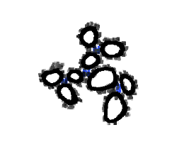 C1CCCCCC(N(C2CCCCCCCCC2)C2CCCCC(N(C3CCCCC(N(C4CCCCCCCCC4)C4CCCCCCCC4)CCC3)C3CCCC(N(C4CCCCCCCCCC4)C4CCCCCCCC4)CCC3)CCCC2)CCCC1